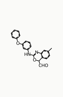 Cc1ccc2c(c1)N=C(Nc1cccc(Oc3ccccc3)c1)OC2C=O